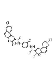 O=C(Nc1ccc(NC(=O)c2cc3c(ccc4cc(Cl)ccc43)oc2=O)c(Cl)c1)c1cc2c(ccc3cc(Cl)ccc32)oc1=O